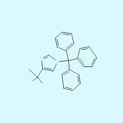 CC(C)(O)c1cn(C(c2ccccc2)(c2ccccc2)c2ccccc2)cn1